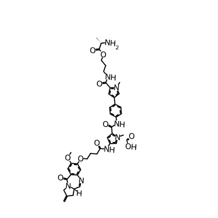 C=C1C[C@H]2C=Nc3cc(OCCCC(=O)Nc4cc(C(=O)Nc5ccc(-c6cc(C(=O)NCCCOC(=O)[C@H](C)N)n(C)c6)cc5)n(C)c4)c(OC)cc3C(=O)N2C1.O=CO